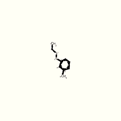 CCSSc1cc[c]c(C)c1